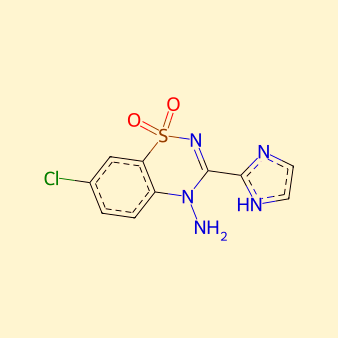 NN1C(c2ncc[nH]2)=NS(=O)(=O)c2cc(Cl)ccc21